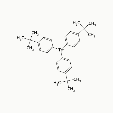 CC(C)(C)c1ccc([Te+](c2ccc(C(C)(C)C)cc2)c2ccc(C(C)(C)C)cc2)cc1